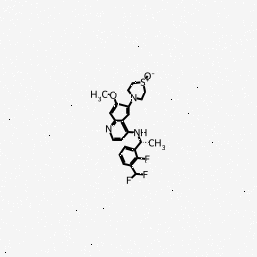 COc1cc2nccc(N[C@H](C)c3cccc(C(F)F)c3F)c2cc1N1CC[S+]([O-])CC1